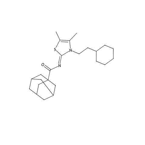 Cc1sc(=NC(=O)C23CC4CC(CC(C4)C2)C3)n(CCC2CCCCC2)c1C